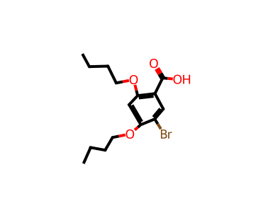 CCCCOc1cc(OCCCC)c(C(=O)O)cc1Br